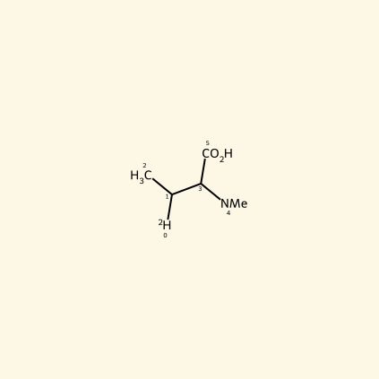 [2H]C(C)C(NC)C(=O)O